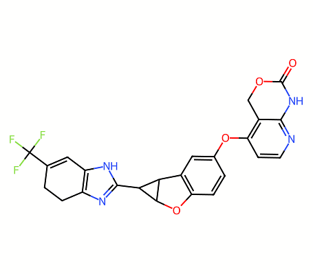 O=C1Nc2nccc(Oc3ccc4c(c3)C3C(O4)C3c3nc4c([nH]3)C=C(C(F)(F)F)CC4)c2CO1